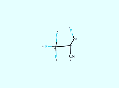 N#CC(CF)C(F)(F)F